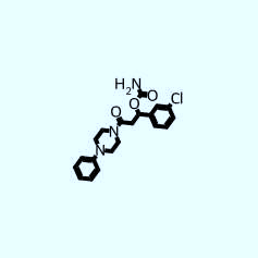 NC(=O)OC(CC(=O)N1CCN(c2ccccc2)CC1)c1cccc(Cl)c1